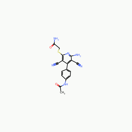 CC(=O)Nc1ccc(-c2c(C#N)c(N)nc(SCC(N)=O)c2C#N)cc1